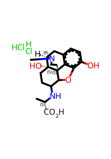 C[C@H](NC1CC[C@@]2(O)[C@H]3Cc4ccc(O)c5c4[C@@]2(CCN3C)C1O5)C(=O)O.Cl.Cl